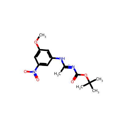 COc1cc(N/C(C)=N/C(=O)OC(C)(C)C)cc([N+](=O)[O-])c1